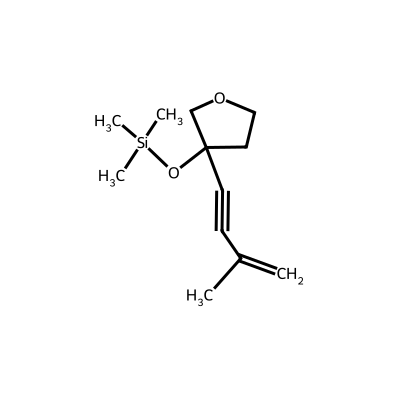 C=C(C)C#CC1(O[Si](C)(C)C)CCOC1